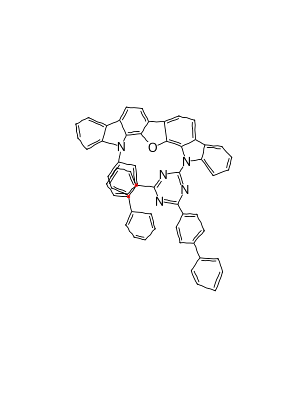 c1ccc(-c2ccc(-c3nc(-c4ccccc4-c4ccccc4)nc(-n4c5ccccc5c5ccc6c7ccc8c9ccccc9n(-c9ccccc9)c8c7oc6c54)n3)cc2)cc1